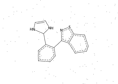 C1=CNC(c2ccccc2-c2nsc3ccccc23)N1